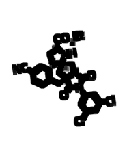 CCOC(=O)[C@@H]1CS[C@]2(CN3C(=O)N(c4cc(Cl)cc(Cl)c4)C(=O)[C@]3(Cc3ccc(C#N)cc3)C2)N1